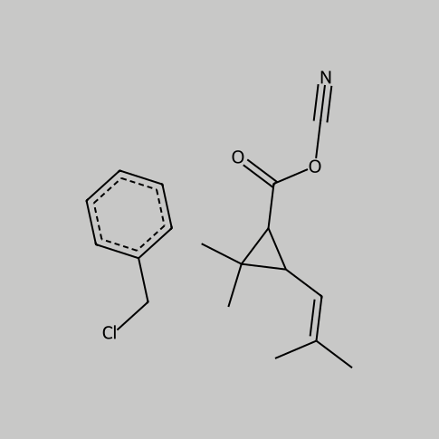 CC(C)=CC1C(C(=O)OC#N)C1(C)C.ClCc1ccccc1